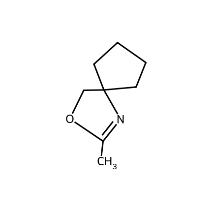 CC1=NC2(CCCC2)CO1